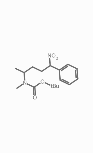 CC(CCC(c1ccccc1)[N+](=O)[O-])N(C)C(=O)OC(C)(C)C